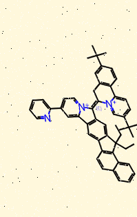 CCC1(CC)c2cc3c(cc2-c2ccc4ccccc4c21)-c1cc(-c2ccccn2)cc[n+]1/C3=C1\Cc2cc(C(C)(C)C)ccc2-c2ccc(C(C)(C)C)c[n+]21